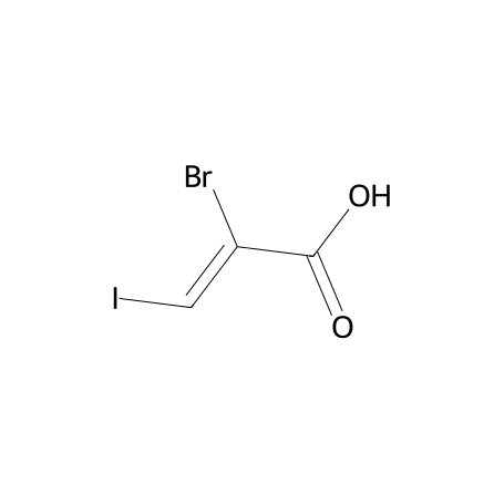 O=C(O)/C(Br)=C/I